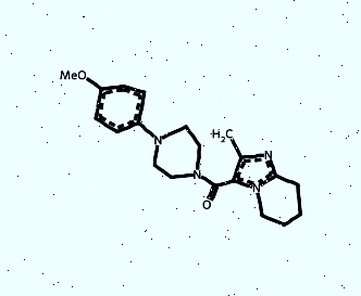 [CH2]c1nc2n(c1C(=O)N1CCN(c3ccc(OC)cc3)CC1)CCCC2